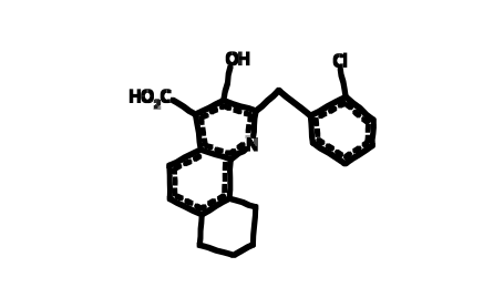 O=C(O)c1c(O)c(Cc2ccccc2Cl)nc2c3c(ccc12)CCCC3